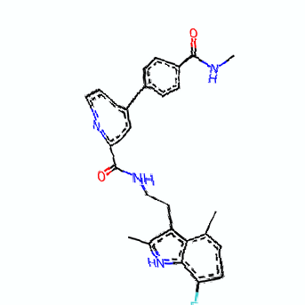 CNC(=O)c1ccc(-c2ccnc(C(=O)NCCc3c(C)[nH]c4c(F)ccc(C)c34)c2)cc1